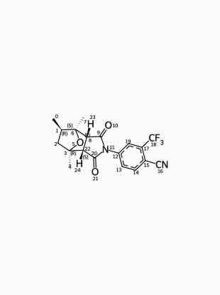 C[C@@H]1C[C@@]2(C)O[C@]1(C)[C@@H]1C(=O)N(c3ccc(C#N)c(C(F)(F)F)c3)C(=O)[C@@H]12